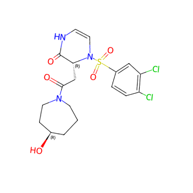 O=C1NC=CN(S(=O)(=O)c2ccc(Cl)c(Cl)c2)[C@@H]1CC(=O)N1CCC[C@@H](O)CC1